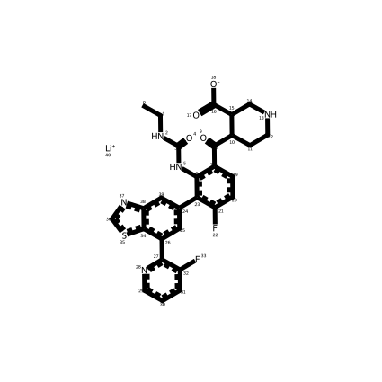 CCNC(=O)Nc1c(C(=O)C2CCNCC2C(=O)[O-])ccc(F)c1-c1cc(-c2ncccc2F)c2scnc2c1.[Li+]